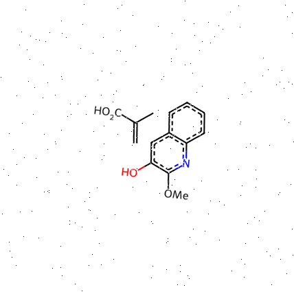 C=C(C)C(=O)O.COc1nc2ccccc2cc1O